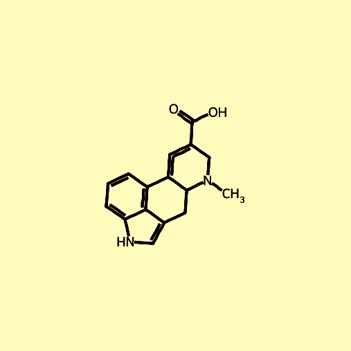 CN1CC(C(=O)O)=C=C2c3cccc4[nH]cc(c34)CC21